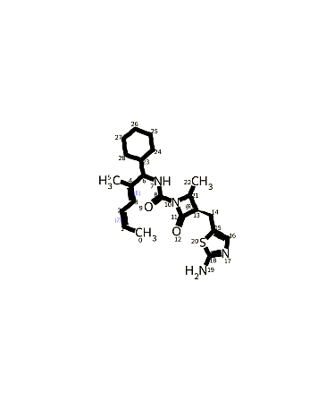 C/C=C\C=C(/C)C(NC(=O)N1C(=O)[C@H](Cc2cnc(N)s2)C1C)C1CCCCC1